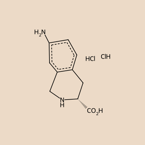 Cl.Cl.Nc1ccc2c(c1)CN[C@@H](C(=O)O)C2